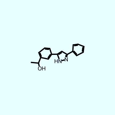 CC(O)c1cccc(-c2cc(-c3ccccc3)n[nH]2)c1